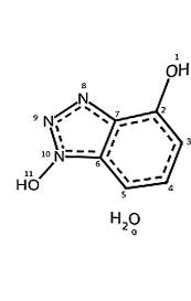 O.Oc1cccc2c1nnn2O